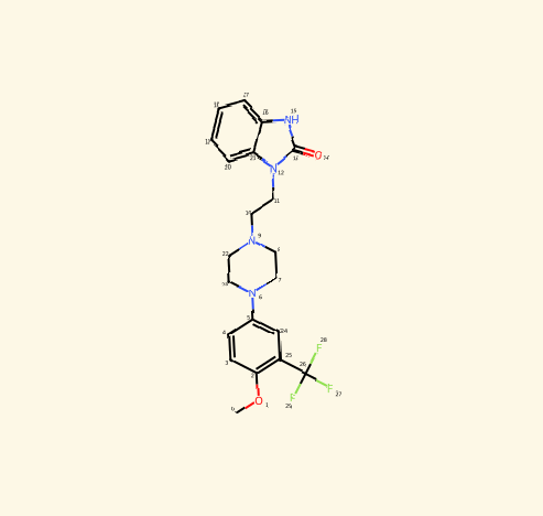 COc1ccc(N2CCN(CCn3c(=O)[nH]c4ccccc43)CC2)cc1C(F)(F)F